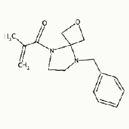 C=C(C)C(=O)N1CCN(Cc2ccccc2)C12COC2